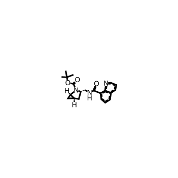 CC(C)(C)OC(=O)N1[C@H](CNC(=O)c2cccc3cccnc23)C[C@@H]2C[C@@H]21